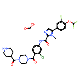 Cn1c(-c2ccc(OC(F)F)c(F)c2)cnc1C(=O)Nc1ccc(C(=O)N2CCN(C(=O)C3CCNCC3)CC2)c(Cl)c1.O=CO